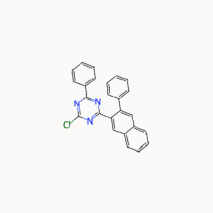 Clc1nc(-c2ccccc2)nc(-c2cc3ccccc3cc2-c2ccccc2)n1